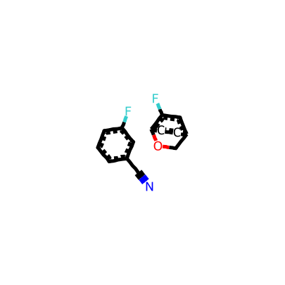 Fc1cc2ccc1OC2.N#Cc1cccc(F)c1